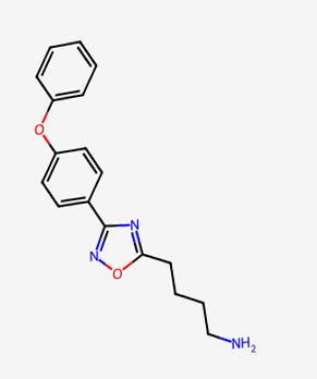 NCCCCc1nc(-c2ccc(Oc3ccccc3)cc2)no1